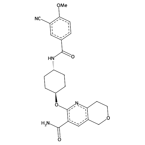 COc1ccc(C(=O)N[C@H]2CC[C@H](Oc3nc4c(cc3C(N)=O)COCC4)CC2)cc1C#N